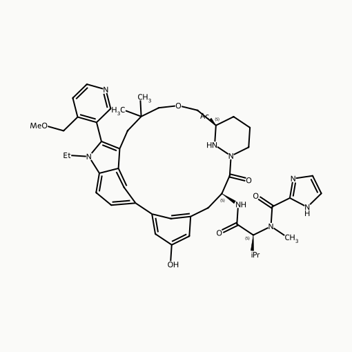 CCn1c(-c2cnccc2COC)c2c3cc(ccc31)-c1cc(O)cc(c1)C[C@H](NC(=O)[C@H](C(C)C)N(C)C(=O)c1ncc[nH]1)C(=O)N1CCC[C@@](C(C)=O)(COCC(C)(C)C2)N1